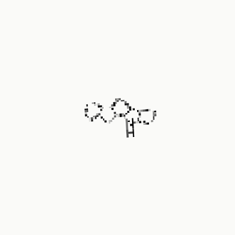 c1ccc2c(c1)Cc1c-2ccc2c1[nH]c1ccccc12